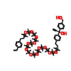 C#CC(O)(c1ccc(CO)cc1)c1ccc(CC[Si](C)(C)O[Si](C)(C)O[Si](C)(C)O[Si](C)(C)O[Si](C)(C)O[Si](C)(C)O[Si](C)(C)O[Si](C)(C)O[Si](C)(C)O[Si](C)(C)O[Si](C)(C)O[Si](C)(C)O[Si](C)(C)CCc2ccc(C=C)cc2)cc1